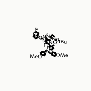 COc1ccc(CN(Cc2ccc(OC)cc2)c2ccc(C)c(-c3ncc4c(N(C)[C@@H]5CCN(C(=O)OC(C)(C)C)C5)nc(OC[C@@]56CCCN5C[C@H](F)C6)nc4c3F)n2)cc1